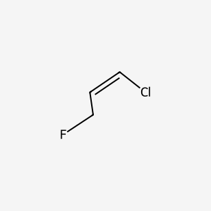 FC/C=C\Cl